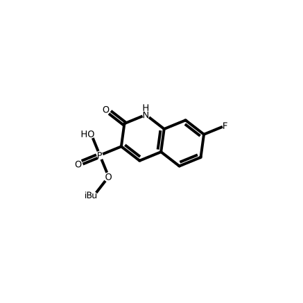 CCC(C)OP(=O)(O)c1cc2ccc(F)cc2[nH]c1=O